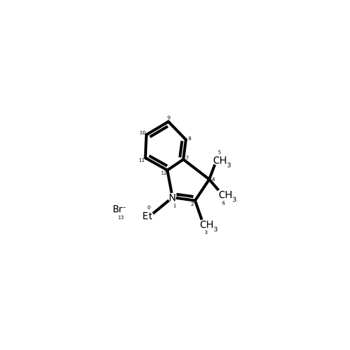 CC[N+]1=C(C)C(C)(C)c2ccccc21.[Br-]